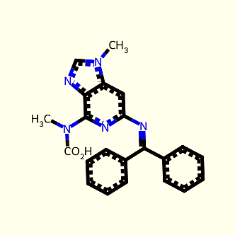 CN(C(=O)O)c1nc(N=C(c2ccccc2)c2ccccc2)cc2c1ncn2C